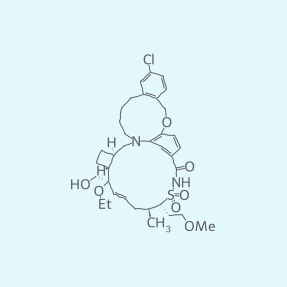 CCO[C@]1(CO)/C=C/C[C@H](C)[C@@H](CCOC)S(=O)(=O)NC(=O)c2ccc3c(c2)N(CCCCc2cc(Cl)ccc2CO3)C[C@@H]2CC[C@H]21